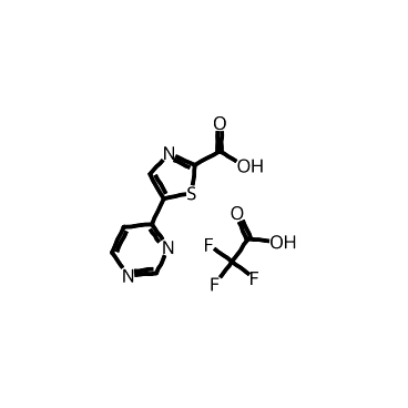 O=C(O)C(F)(F)F.O=C(O)c1ncc(-c2ccncn2)s1